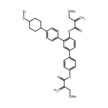 C=C(COC)C(=O)Oc1ccc(-c2ccc(OC(=O)C(=C)COC)c(-c3ccc(C4CCC(OCC)CC4)cc3)c2)cc1